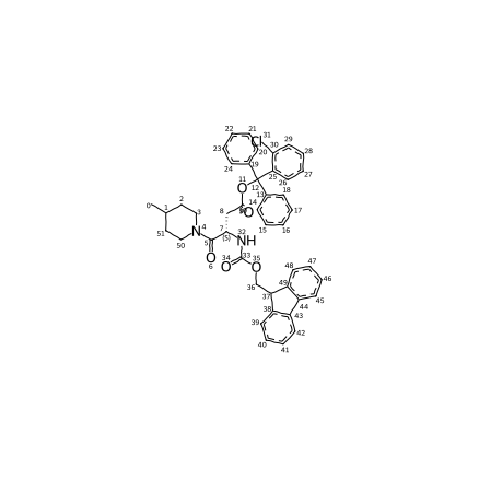 CC1CCN(C(=O)[C@H](CC(=O)OC(c2ccccc2)(c2ccccc2)c2ccccc2Cl)NC(=O)OCC2c3ccccc3-c3ccccc32)CC1